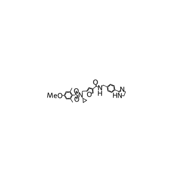 COc1cc(C)c(S(=O)(=O)N(Cc2cc(C(=O)NCc3ccc(C4=NCCN4)cc3)co2)C2CC2)c(C)c1